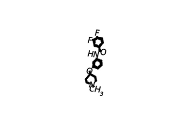 CN1CCC(Oc2cccc(NC(=O)c3ccc(F)c(F)c3)c2)CC1